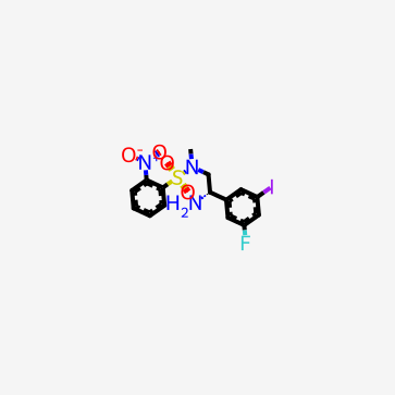 CN(C[C@@H](N)c1cc(F)cc(I)c1)S(=O)(=O)c1ccccc1[N+](=O)[O-]